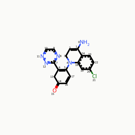 NC1=CCN(C2=C(c3nccnn3)CC(=O)C=C2)c2cc(Cl)ccc21